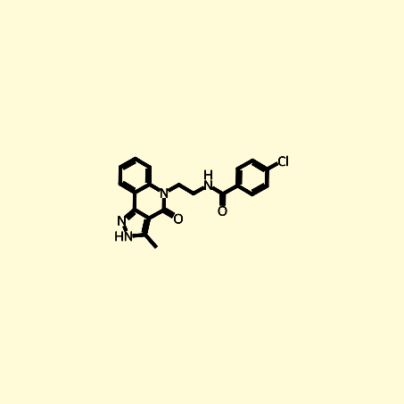 Cc1[nH]nc2c1c(=O)n(CCNC(=O)c1ccc(Cl)cc1)c1ccccc21